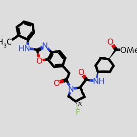 COC(=O)[C@H]1CC[C@@H](NC(=O)C2C[C@H](F)CN2C(=O)Cc2ccc3nc(Nc4ccccc4C)oc3c2)CC1